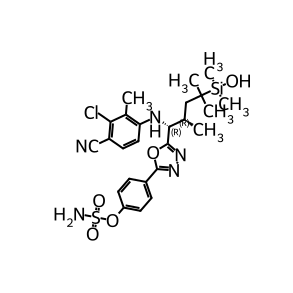 Cc1c(N[C@@H](c2nnc(-c3ccc(OS(N)(=O)=O)cc3)o2)[C@H](C)CC(C)(C)[Si](C)(C)O)ccc(C#N)c1Cl